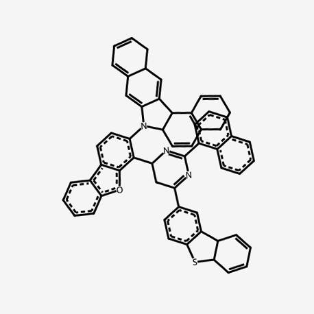 C1=CCC2C=C3C(=CC2=C1)N(c1ccc2c(oc4ccccc42)c1C1CC(c2ccc4c(c2)C2C=CC=CC2S4)=NC(c2cccc4ccccc24)=N1)C1C=CC2=C(C=CCC2)C31